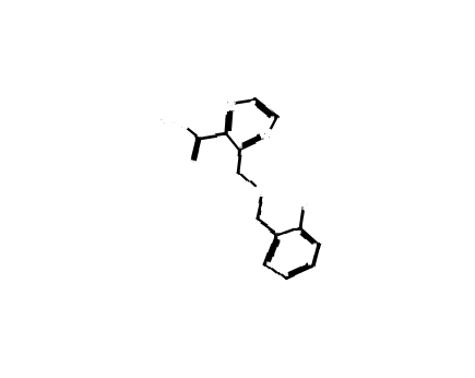 COC(=O)c1nccnc1CSCc1ccccc1Br